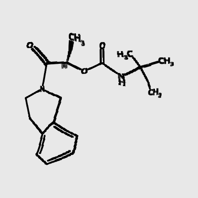 C[C@@H](OC(=O)NC(C)(C)C)C(=O)N1CCc2ccccc2C1